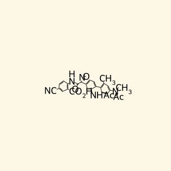 CC(=O)Nc1cc2c(C(=O)Nc3ccc(C#N)cc3C(=O)O)noc2cc1-c1ccc(N(C)C(C)=O)cc1C